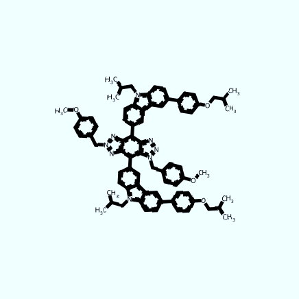 COc1ccc(Cn2nc3c(-c4ccc5c(c4)c4cc(-c6ccc(OCC(C)C)cc6)ccc4n5CC(C)C)c4nnn(Cc5ccc(OC)cc5)c4c(-c4ccc5c(c4)c4cc(-c6ccc(OCC(C)C)cc6)ccc4n5CC(C)C)c3n2)cc1